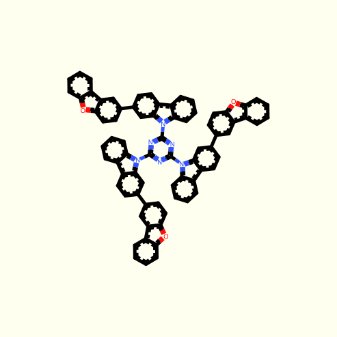 c1ccc2c(c1)oc1ccc(-c3ccc4c5ccccc5n(-c5nc(-n6c7ccccc7c7ccc(-c8ccc9oc%10ccccc%10c9c8)cc76)nc(-n6c7ccccc7c7ccc(-c8ccc9oc%10ccccc%10c9c8)cc76)n5)c4c3)cc12